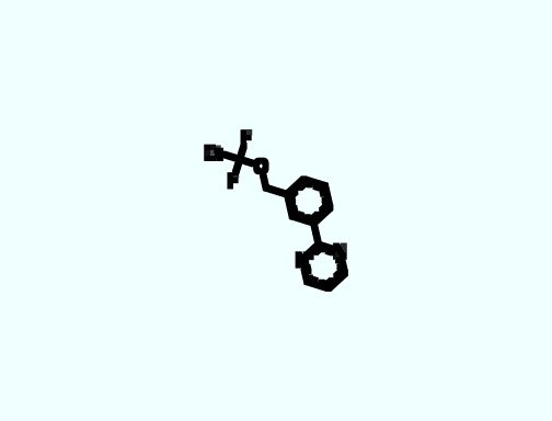 CCC(F)(F)OCc1cccc(-c2ncccn2)c1